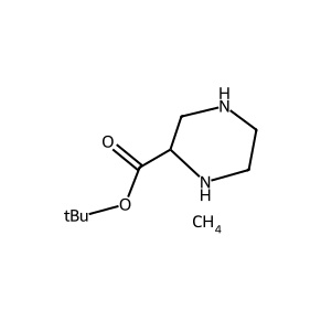 C.CC(C)(C)OC(=O)C1CNCCN1